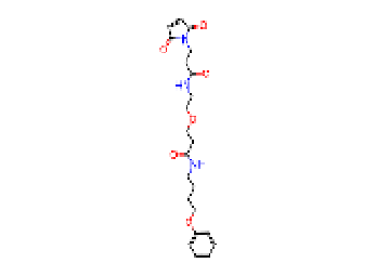 O=C(CCOCCNC(=O)CCN1C(=O)C=CC1=O)NCCCCOc1ccccc1